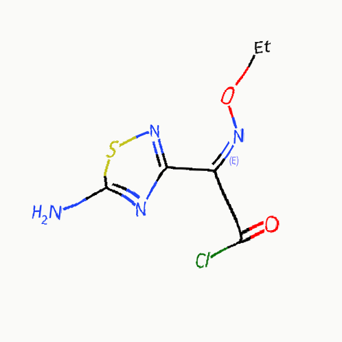 CCO/N=C(/C(=O)Cl)c1nsc(N)n1